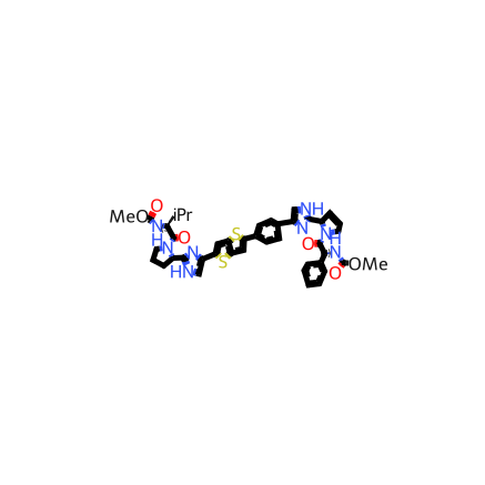 COC(=O)N[C@H](C(=O)N1CCCC1c1nc(-c2cc3sc(-c4ccc(-c5c[nH]c(C6C=CCN6C(=O)[C@H](NC(=O)OC)c6ccccc6)n5)cc4)cc3s2)c[nH]1)C(C)C